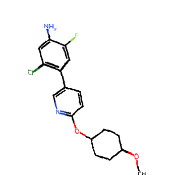 COC1CCC(Oc2ccc(-c3cc(F)c(N)cc3Cl)cn2)CC1